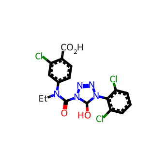 CCN(C(=O)N1N=NN(c2c(Cl)cccc2Cl)C1O)c1ccc(C(=O)O)c(Cl)c1